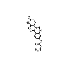 NCC(=O)Oc1ccc2c(=O)n(C3CCC(=O)NC3=O)nnc2c1